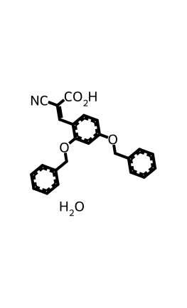 N#CC(=Cc1ccc(OCc2ccccc2)cc1OCc1ccccc1)C(=O)O.O